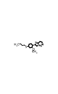 CCCCSc1ccc(-c2cn3nnccc3n2)c(OC)c1